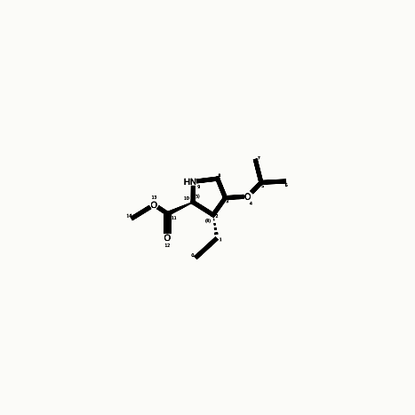 CC[C@H]1C(OC(C)C)CN[C@@H]1C(=O)OC